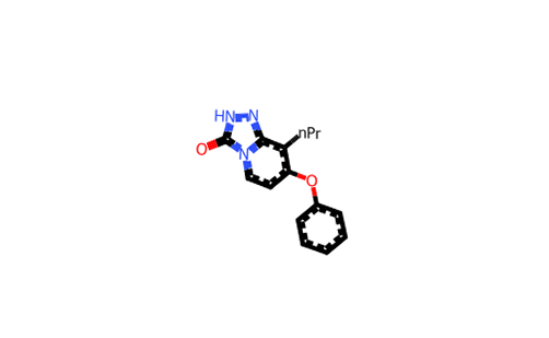 CCCc1c(Oc2ccccc2)ccn2c(=O)[nH]nc12